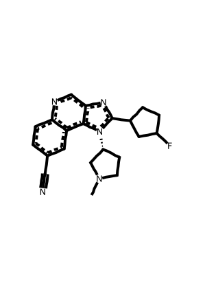 CN1CC[C@@H](n2c(C3CCC(F)C3)nc3cnc4ccc(C#N)cc4c32)C1